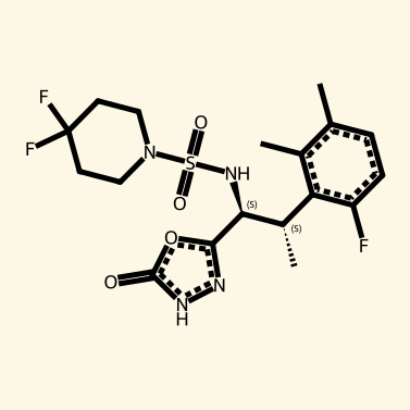 Cc1ccc(F)c([C@H](C)[C@H](NS(=O)(=O)N2CCC(F)(F)CC2)c2n[nH]c(=O)o2)c1C